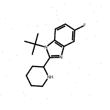 CC(C)(C)n1c(C2CCCCN2)nc2cc(F)ccc21